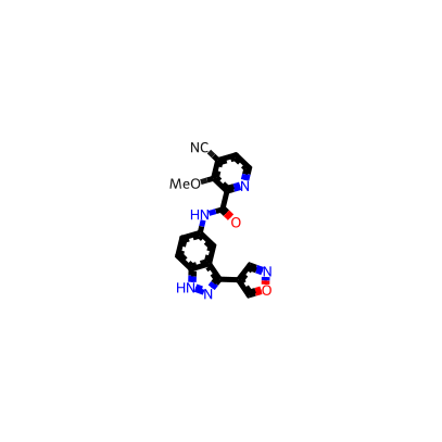 COc1c(C#N)ccnc1C(=O)Nc1ccc2[nH]nc(-c3cnoc3)c2c1